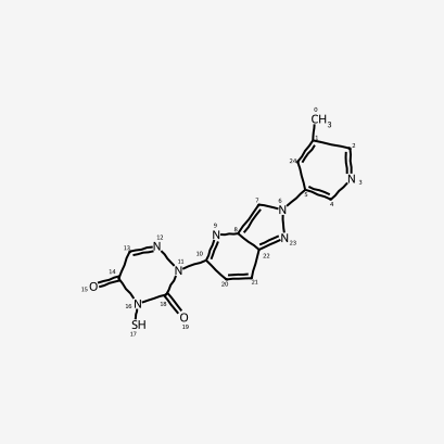 Cc1cncc(-n2cc3nc(-n4ncc(=O)n(S)c4=O)ccc3n2)c1